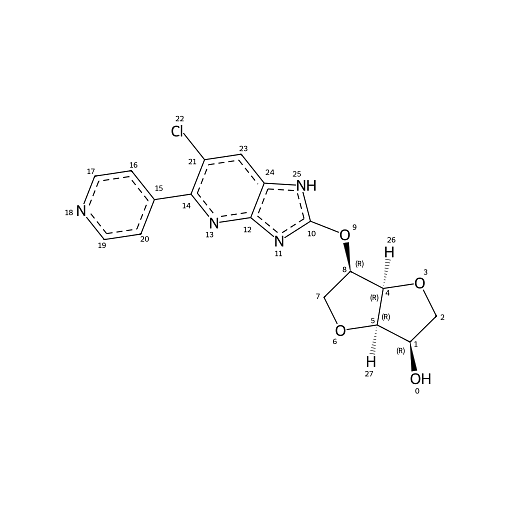 O[C@@H]1CO[C@H]2[C@@H]1OC[C@H]2Oc1nc2nc(-c3ccncc3)c(Cl)cc2[nH]1